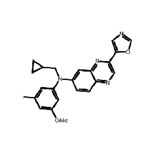 COc1cc(I)cc(N(CC2CC2)c2ccc3ncc(-c4cnco4)nc3c2)c1